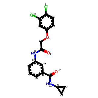 O=C(COc1ccc(Cl)c(Cl)c1)Nc1cccc(C(=O)NC2CC2)c1